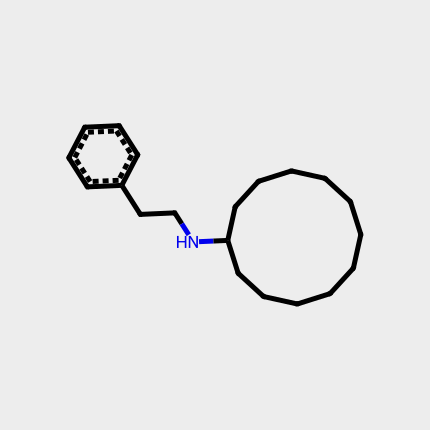 c1ccc(CCNC2CCCCCCCCCCC2)cc1